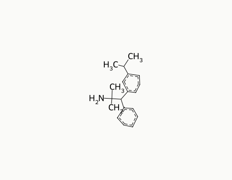 [CH2]C(C)(N)C(c1ccccc1)c1cccc(C(C)C)c1